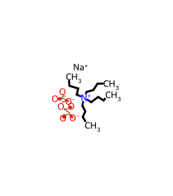 CCCC[N+](CCCC)(CCCC)CCCC.O=S(=O)([O-])OS(=O)(=O)[O-].[Na+]